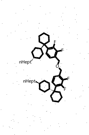 CCCCCCC[C@H]1CC[C@H](C2(c3ccc(COCc4ccc(C5([C@H]6CC[C@H](CCCCCCC)CC6)CCCCC5)c(F)c4F)c(F)c3F)CCCCC2)CC1